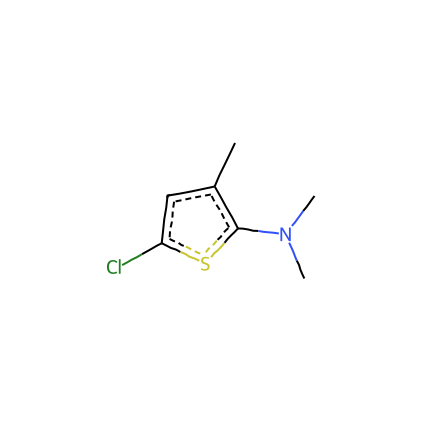 Cc1cc(Cl)sc1N(C)C